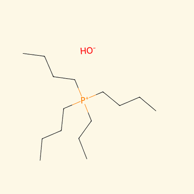 CCCC[P+](CCC)(CCCC)CCCC.[OH-]